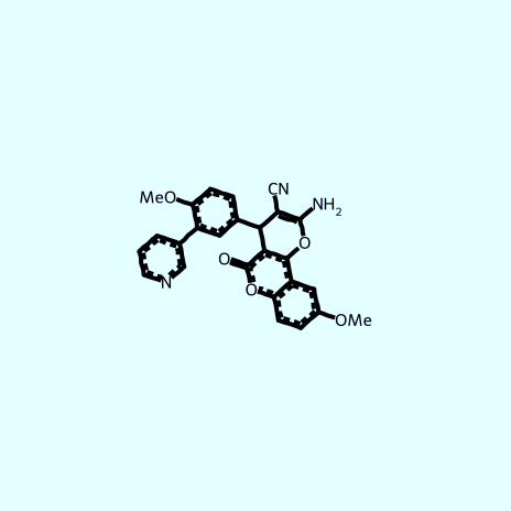 COc1ccc2oc(=O)c3c(c2c1)OC(N)=C(C#N)C3c1ccc(OC)c(-c2cccnc2)c1